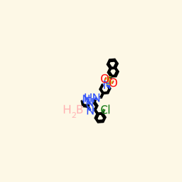 Bc1cnn2c(NCC3CCN(S(=O)(=O)c4ccc5ccccc5c4)CC3)cc(-c3ccccc3Cl)nc12